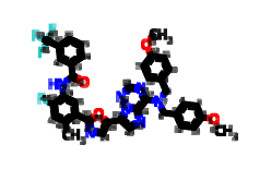 COc1ccc(CN(Cc2ccc(OC)cc2)c2ncnn3c(-c4cnc(-c5cc(NC(=O)c6cccc(C(F)(F)F)c6)c(F)cc5C)o4)cnc23)cc1